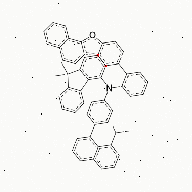 CC(C)c1cccc2cccc(-c3ccc(N(c4ccccc4-c4ccc5oc6c7ccccc7ccc6c5c4)c4cccc5c4-c4ccccc4C5(C)C)cc3)c12